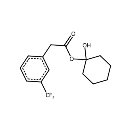 O=C(Cc1cccc(C(F)(F)F)c1)OC1(O)CCCCC1